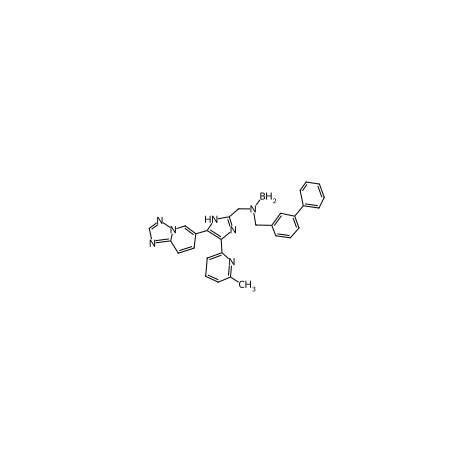 BN(Cc1cccc(-c2ccccc2)c1)Cc1nc(-c2cccc(C)n2)c(-c2ccc3ncnn3c2)[nH]1